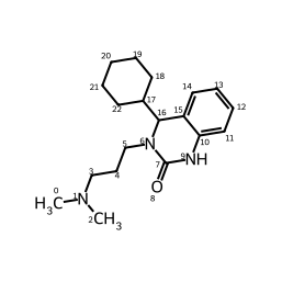 CN(C)CCCN1C(=O)Nc2ccccc2C1C1CCCCC1